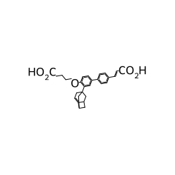 O=C(O)/C=C/c1ccc(-c2ccc(OCCCCC(=O)O)c(C34CC=C5C(CC5C3)C4)c2)cc1